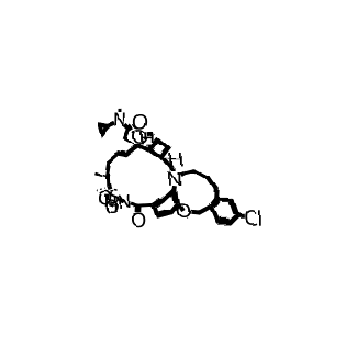 CO[C@@]1(CC(=O)N(C)C2CC2)/C=C/C[C@H](C)[C@@H](C)S(=O)(=O)NC(=O)c2ccc3c(c2)N(CCCCc2cc(Cl)ccc2CO3)C[C@@H]2CC[C@H]21